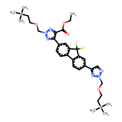 CCOC(=O)c1nn(COCC[Si](C)(C)C)nc1-c1ccc2c(c1)C(F)(F)c1cc(-c3cnn(COCC[Si](C)(C)C)n3)ccc1-2